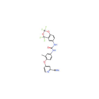 Cc1cc(NC(=O)Nc2ccc3c(c2)C(F)(F)OC(F)(F)O3)ccc1Oc1ccnc(C#N)c1